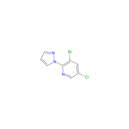 Clc1cnc(-n2cccn2)c(Br)c1